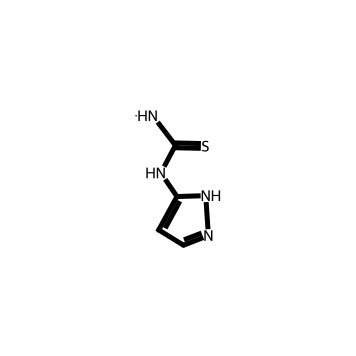 [NH]C(=S)Nc1ccn[nH]1